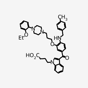 CCOc1ccccc1N1CCN(CCCOc2cc(C(=O)c3cn(CCCC(=O)O)c4ccccc34)ccc2NCc2ccc(C)cc2)CC1